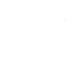 O=S(=O)(O)CCCCS(=O)(=O)C1CCCCC1